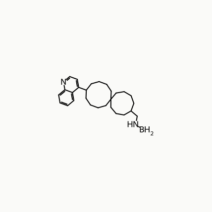 BNCC1CCCCC2(CCCCC(c3ccnc4ccccc34)CCCC2)CCC1